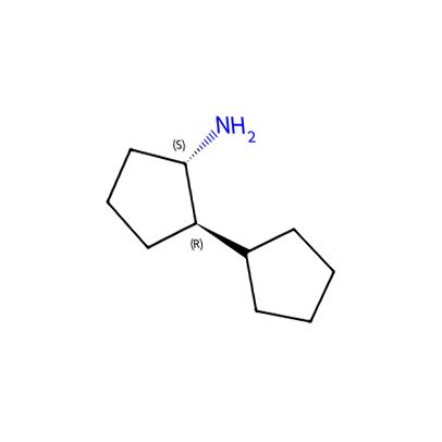 N[C@H]1CCC[C@@H]1C1CCCC1